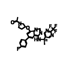 CC(=O)N1CCC(Oc2cc(-c3ccc(F)cc3)cc3c(N[C@H](C)c4cnc(C(F)(F)F)nc4)ncnc23)C1